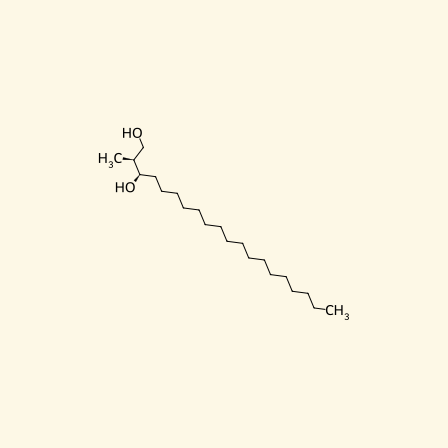 CCCCCCCCCCCCCCCCC[C@@H](O)[C@@H](C)CO